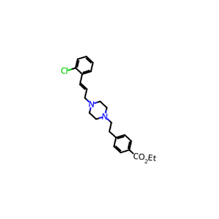 CCOC(=O)c1ccc(CCN2CCN(C/C=C/c3ccccc3Cl)CC2)cc1